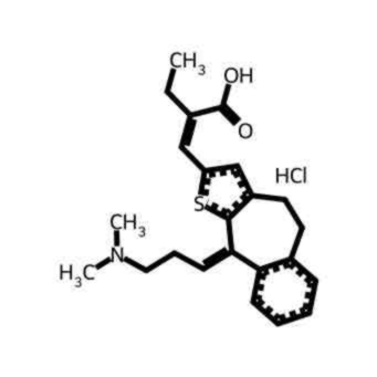 CCC(=Cc1cc2c(s1)C(=CCCN(C)C)c1ccccc1CC2)C(=O)O.Cl